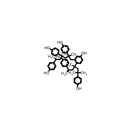 C=C(CC(C)(CC(C)(C)c1ccc(O)cc1)c1ccc(O)cc1CC(C)(CC(C)(CC(C)c1ccc(O)cc1)c1ccc(O)cc1)c1ccc(O)cc1)c1ccc(O)cc1